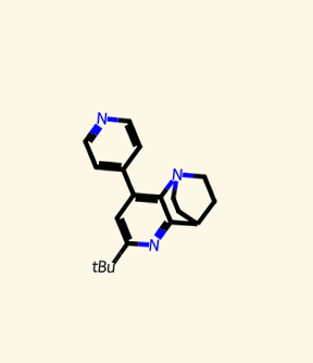 CC(C)(C)c1cc(-c2ccncc2)c2c(n1)C1CCN2CC1